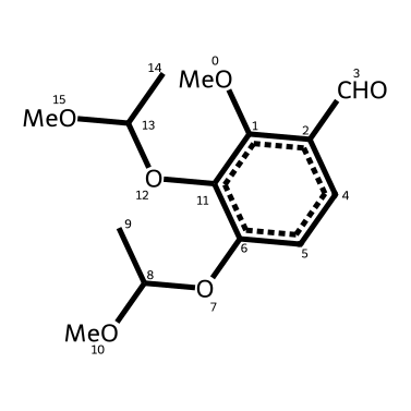 COc1c(C=O)ccc(OC(C)OC)c1OC(C)OC